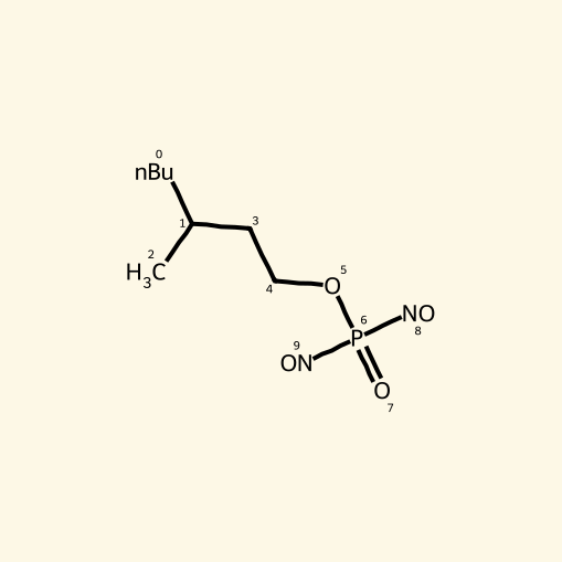 CCCCC(C)CCOP(=O)(N=O)N=O